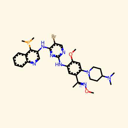 CO/N=C(\C)c1cc(Nc2ncc(Br)c(Nc3cnc4ccccc4c3P(C)C)n2)c(OC)cc1N1CCC(N(C)C)CC1